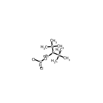 CCCN([Si](C)(C)C)[Si](C)(C)C.Cl[SiH](Cl)Cl